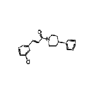 O=C(C=Cc1cccc(Cl)c1)N1CCC(c2ccccc2)CC1